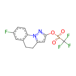 O=S(=O)(Oc1cc2n(n1)-c1ccc(F)cc1CC2)C(F)(F)F